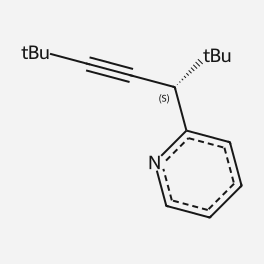 CC(C)(C)C#C[C@@H](c1ccccn1)C(C)(C)C